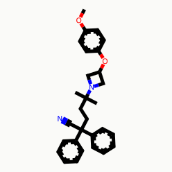 COc1ccc(OC2CN(C(C)(C)CCC(C#N)(c3ccccc3)c3ccccc3)C2)cc1